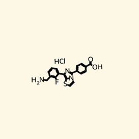 Cl.NCc1cccc(-c2nc(-c3ccc(C(=O)O)cc3)n3ccsc23)c1F